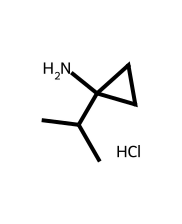 CC(C)C1(N)CC1.Cl